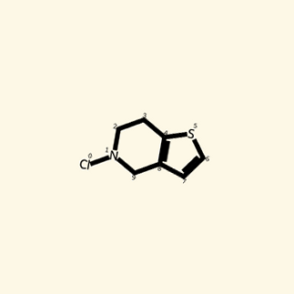 ClN1CCc2sccc2C1